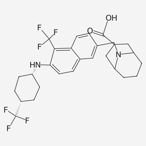 O=C(O)C1CC2CCCC(C1)N2Cc1ccc2c(C(F)(F)F)c(N[C@H]3CC[C@@H](C(F)(F)F)CC3)ccc2c1